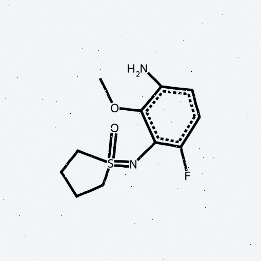 COc1c(N)ccc(F)c1N=S1(=O)CCCC1